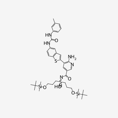 Cc1cccc(NC(=O)Nc2ccc3sc(-c4cc(C(=O)N=[SH](O)(CCCO[Si](C)(C)C(C)(C)C)CCCO[Si](C)(C)C(C)(C)C)cnc4N)cc3c2)c1